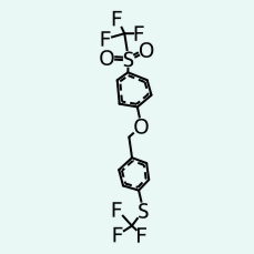 O=S(=O)(c1ccc(OCc2ccc(SC(F)(F)F)cc2)cc1)C(F)(F)F